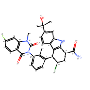 Cc1c([C@H]2c3c([nH]c4cc(C(C)(C)O)ccc34)[C@@H](C(N)=O)C[C@H]2Cl)cccc1-n1c(=O)c2ccc(F)cc2n(C)c1=O